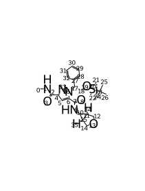 CNC(=O)c1cc(C(=O)N[C@H]2[C@@H]3COC[C@@H]32)n([C@@H](CO[Si](C)(C)C(C)(C)C)c2ccccc2)n1